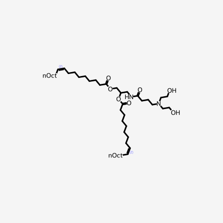 CCCCCCCC/C=C\CCCCCCCC(=O)OCC(CNC(=O)CCCN(CCO)CCO)OC(=O)CCCCCCC/C=C\CCCCCCCC